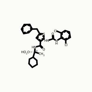 C[C@@](NC(=O)c1cc(Cc2ccccc2)sc1NC(=O)Nc1c(Cl)cccc1Cl)(C(=O)O)C1CCCCC1